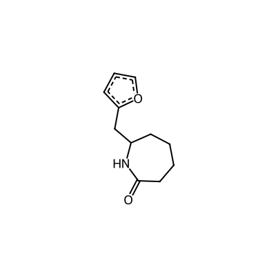 O=C1CCCCC(Cc2ccco2)N1